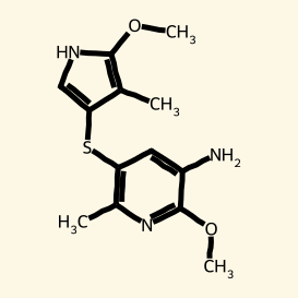 COc1nc(C)c(Sc2c[nH]c(OC)c2C)cc1N